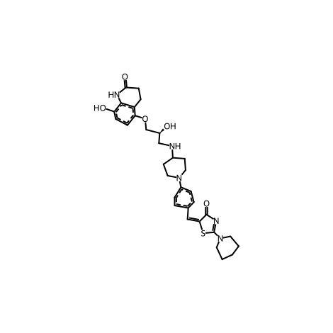 O=C1CCc2c(OC[C@@H](O)CNC3CCN(c4ccc(/C=C5/SC(N6CCCCC6)=NC5=O)cc4)CC3)ccc(O)c2N1